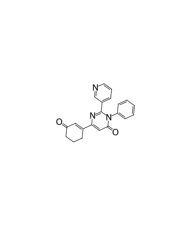 O=C1C=C(c2cc(=O)n(-c3ccccc3)c(-c3cccnc3)n2)CCC1